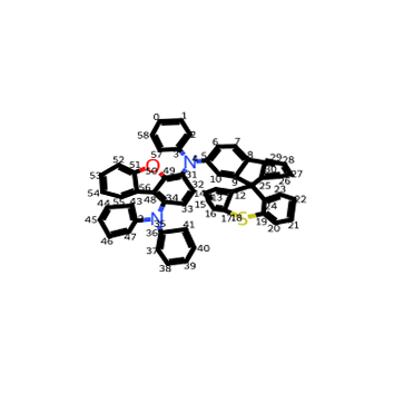 c1ccc(N(c2ccc3c(c2)C2(c4ccccc4Sc4ccccc42)c2ccccc2-3)c2ccc(N(c3ccccc3)c3ccccc3)c3c2oc2ccccc23)cc1